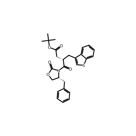 CC(C)(C)OC(=O)C[C@H](Cc1csc2ccccc12)C(=O)N1C(=O)OC[C@H]1Cc1ccccc1